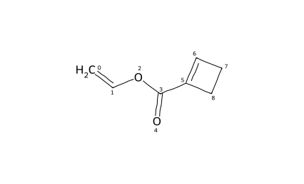 C=COC(=O)C1=CCC1